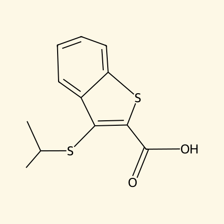 CC(C)Sc1c(C(=O)O)sc2ccccc12